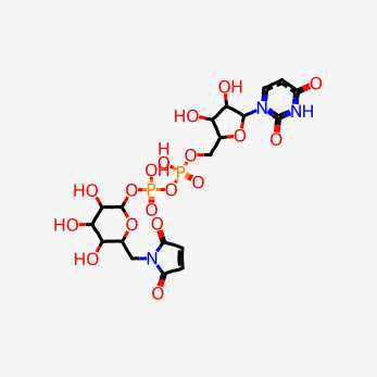 O=C1C=CC(=O)N1CC1OC(OP(=O)(O)OP(=O)(O)OCC2OC(n3ccc(=O)[nH]c3=O)C(O)C2O)C(O)C(O)C1O